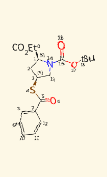 CCOC(=O)[C@@H]1C[C@H](SC(=O)c2ccccc2)CN1C(=O)OC(C)(C)C